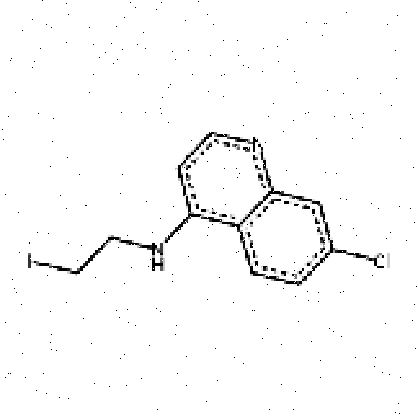 Clc1ccc2c(NCCI)ccnc2c1